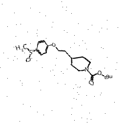 C[S+]([O-])c1ccc(OCCC2CCN(C(=O)OC(C)(C)C)CC2)cc1